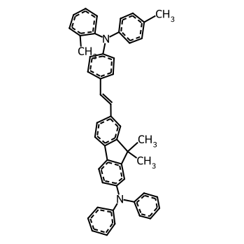 Cc1ccc(N(c2ccc(/C=C/c3ccc4c(c3)C(C)(C)c3cc(N(c5ccccc5)c5ccccc5)ccc3-4)cc2)c2ccccc2C)cc1